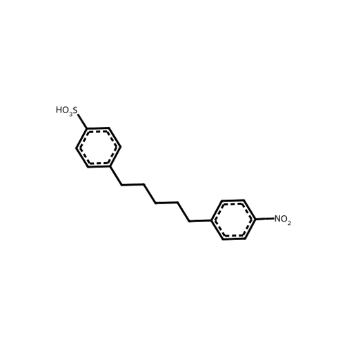 O=[N+]([O-])c1ccc(CCCCCc2ccc(S(=O)(=O)O)cc2)cc1